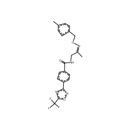 C/C(CNC(=O)c1ccc(-c2noc(C(F)(F)F)n2)cc1)=N/OCc1ccc(C)cc1